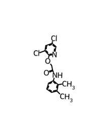 Cc1cccc(NC(=O)COc2ncc(Cl)cc2Cl)c1C